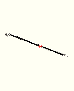 CCCCCCCCCCCCCCCCCCCCCCCCCCC(=O)OCCCCCCCCCCCCCCCCCCC